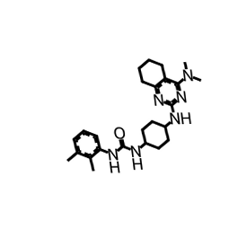 Cc1cccc(NC(=O)NC2CCC(Nc3nc4c(c(N(C)C)n3)CCCC4)CC2)c1C